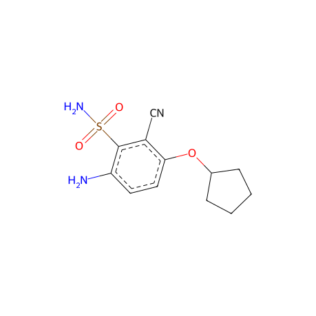 N#Cc1c(OC2CCCC2)ccc(N)c1S(N)(=O)=O